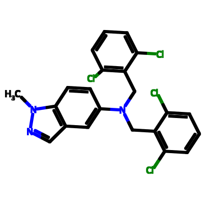 Cn1ncc2cc(N(Cc3c(Cl)cccc3Cl)Cc3c(Cl)cccc3Cl)ccc21